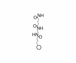 CNC(=O)CCCC(=O)NCCNC(=O)CCCc1ccccc1